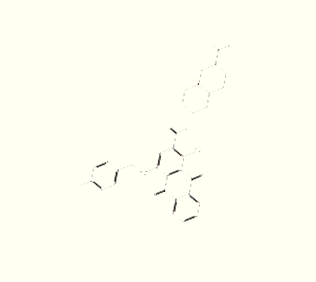 Cc1ccc(CNc2cc(C(=O)O[C@@H]3CC[C@@H]4CC(C(C)C)CCC4C3)c(N)c3c2C(=O)c2ccccc2C3=O)cc1